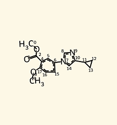 COC(=O)c1cc(-n2cnc(C3CC3)c2)ccc1OC